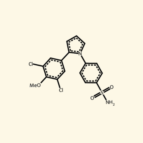 COc1c(Cl)cc(-c2cccn2-c2ccc(S(N)(=O)=O)cc2)cc1Cl